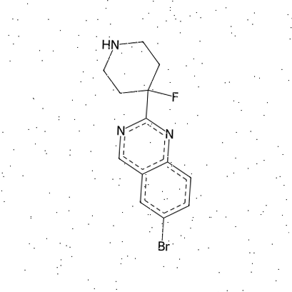 FC1(c2ncc3cc(Br)ccc3n2)CCNCC1